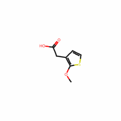 COc1sccc1CC(=O)O